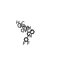 CCC(N)([C@@H]1CCCN1C(=O)c1cc(-c2ccc(F)c(F)c2)nc2ccccc12)N1CCCCC1